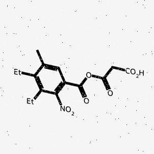 CCc1c(C)cc(C(=O)OC(=O)CC(=O)O)c([N+](=O)[O-])c1CC